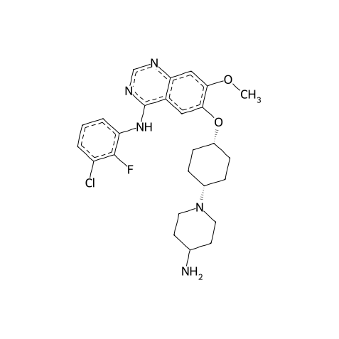 COc1cc2ncnc(Nc3cccc(Cl)c3F)c2cc1O[C@H]1CC[C@@H](N2CCC(N)CC2)CC1